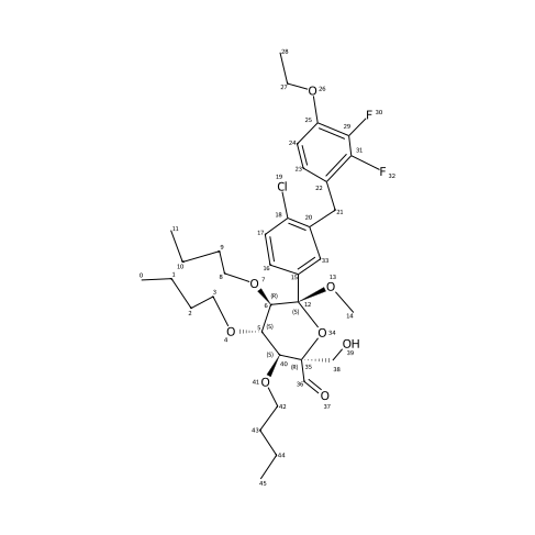 CCCCO[C@@H]1[C@@H](OCCCC)[C@](OC)(c2ccc(Cl)c(Cc3ccc(OCC)c(F)c3F)c2)O[C@](C=O)(CO)[C@H]1OCCCC